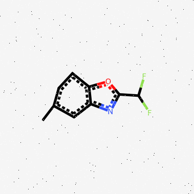 Cc1ccc2oc(C(F)F)nc2c1